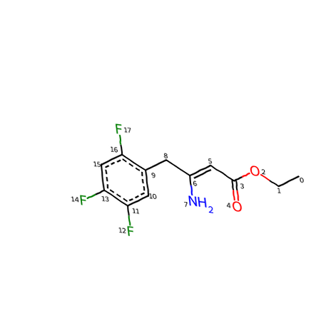 CCOC(=O)/C=C(\N)Cc1cc(F)c(F)cc1F